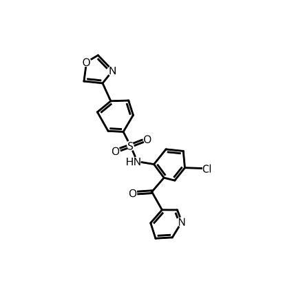 O=C(c1cccnc1)c1cc(Cl)ccc1NS(=O)(=O)c1ccc(-c2cocn2)cc1